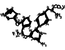 Nc1nc(O[C@@H](c2ccccc2Oc2cccnc2)C(F)(F)F)cc(-c2ccc(CC(N)C(=O)O)cc2)n1